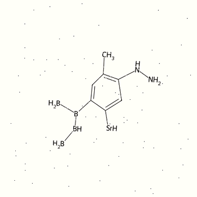 BBB(B)c1cc(C)c(NN)c[c]1[SrH]